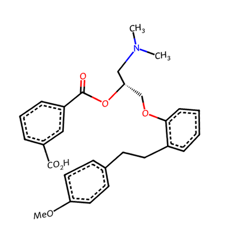 COc1ccc(CCc2ccccc2OC[C@@H](CN(C)C)OC(=O)c2cccc(C(=O)O)c2)cc1